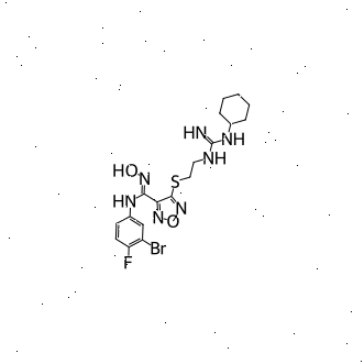 N=C(NCCSc1nonc1/C(=N/O)Nc1ccc(F)c(Br)c1)NC1CCCCC1